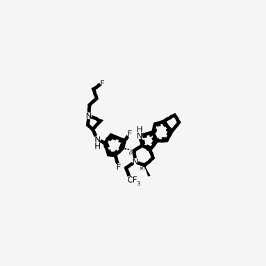 C[C@@H]1Cc2c([nH]c3cc4c(cc23)CC4)[C@@H](c2c(F)cc(NC3CN(CCCF)C3)cc2F)N1CC(F)(F)F